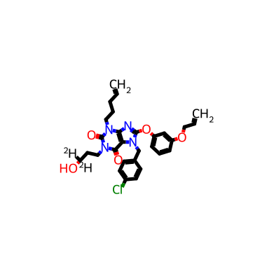 [2H]C([2H])(O)CCn1c(=O)c2c(nc(Oc3cccc(OCC=C)c3)n2Cc2ccc(Cl)cc2)n(CCCC=C)c1=O